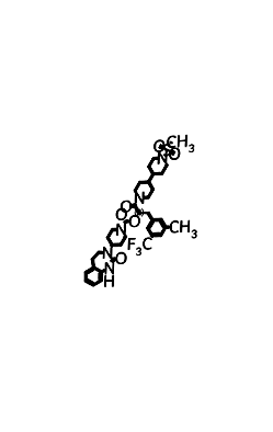 Cc1cc(C[C@@H](OC(=O)N2CCC(N3CCc4ccccc4NC3=O)CC2)C(=O)N2CCC(C3CCN(S(C)(=O)=O)CC3)CC2)cc(C(F)(F)F)c1